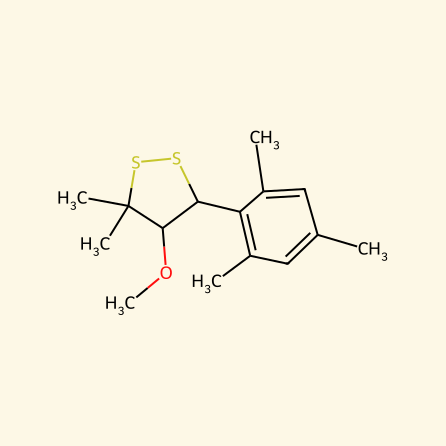 COC1C(c2c(C)cc(C)cc2C)SSC1(C)C